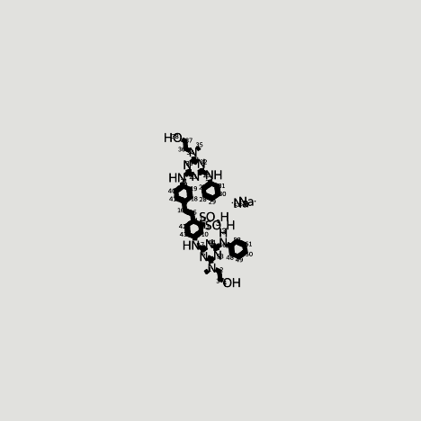 CN(CCO)c1nc(NC2=CC(S(=O)(=O)O)(S(=O)(=O)O)C(C=Cc3ccc(Nc4nc(Nc5ccccc5)nc(N(C)CCO)n4)cc3)C=C2)nc(Nc2ccccc2)n1.[Na].[Na]